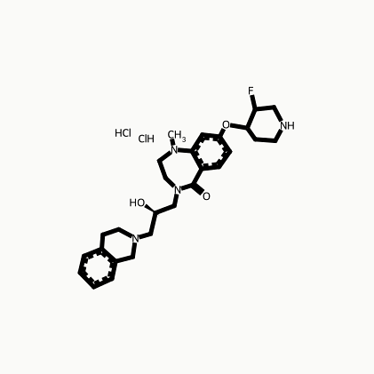 CN1CCN(C[C@H](O)CN2CCc3ccccc3C2)C(=O)c2ccc(OC3CCNCC3F)cc21.Cl.Cl